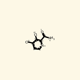 NC(=O)c1nccc(Cl)c1Cl